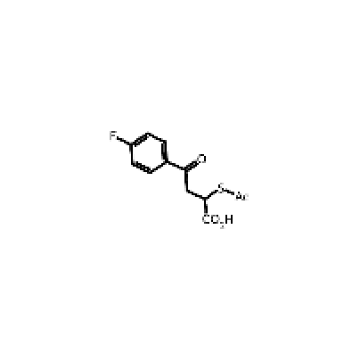 CC(=O)SC(CC(=O)c1ccc(F)cc1)C(=O)O